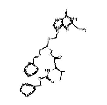 CC(C)[C@H](NC(=O)OCc1ccccc1)C(=O)OC[C@H](COCc1ccccc1)OCn1cnc2c(=O)[nH]c(N)nc21